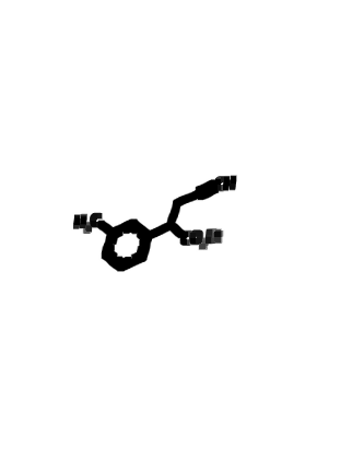 C#CCC(C(=O)OCC)c1cccc(C)c1